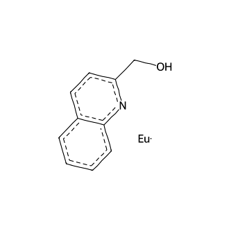 OCc1ccc2ccccc2n1.[Eu]